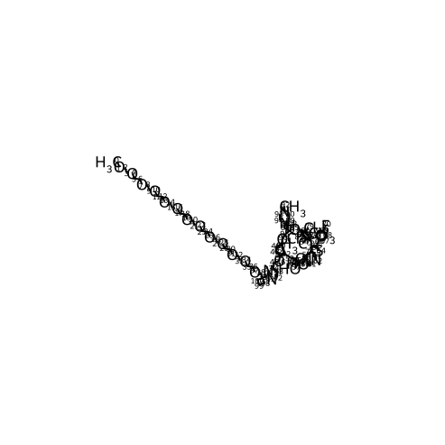 COCCOCCOCCOCCOCCOCCOCCOCCOCCOCCOCCOCCOCC1(c2nccc(COc3ccc4cc3C[C@H](C(=O)O)Oc3ncnc5sc(-c6ccc(F)cc6)c(c35)-c3c(C)c(Cl)c(c(Cl)c3C)O[C@H](CN3CCN(C)CC3)CO4)n2)CCC1